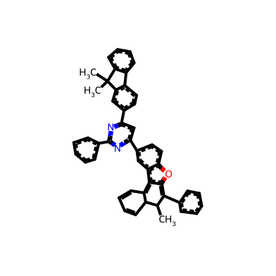 CC1C(c2ccccc2)=c2oc3ccc(-c4cc(-c5ccc6c(c5)C(C)(C)c5ccccc5-6)nc(-c5ccccc5)n4)cc3c2=C2C=CC=CC21